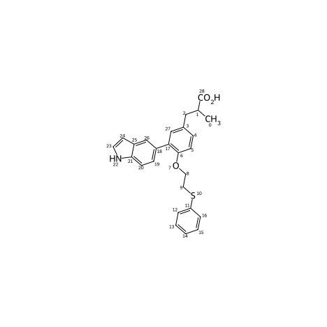 CC(Cc1ccc(OCCSc2ccccc2)c(-c2ccc3[nH]ccc3c2)c1)C(=O)O